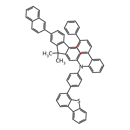 CC1(C)c2cc(-c3ccc4ccccc4c3)ccc2-c2ccc(N(c3ccc(-c4cccc5c4sc4ccccc45)cc3)c3ccccc3-c3ccc(-c4ccccc4)cc3)cc21